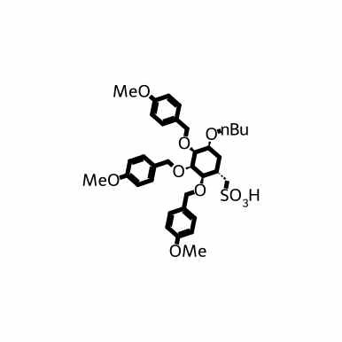 CCCCO[C@@H]1C[C@H](CS(=O)(=O)O)[C@@H](OCc2ccc(OC)cc2)[C@H](OCc2ccc(OC)cc2)[C@H]1OCc1ccc(OC)cc1